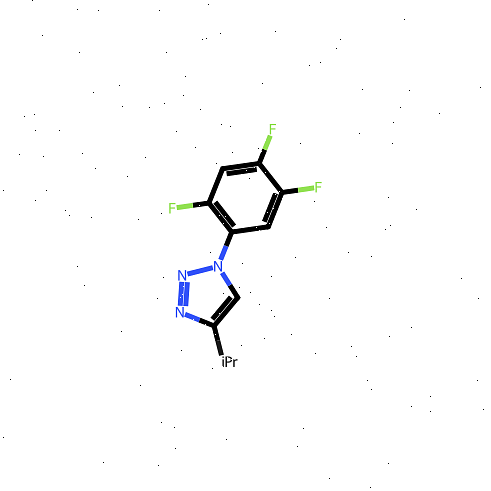 CC(C)c1cn(-c2cc(F)c(F)cc2F)nn1